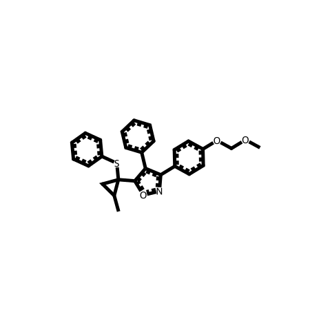 COCOc1ccc(-c2noc(C3(Sc4ccccc4)CC3C)c2-c2ccccc2)cc1